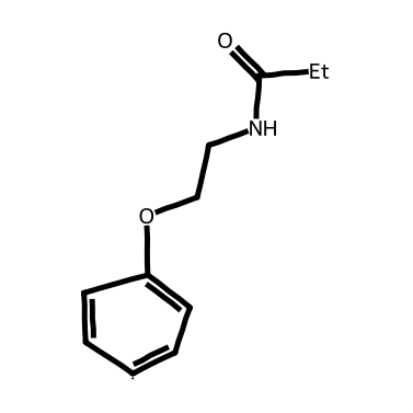 CCC(=O)NCCOc1cc[c]cc1